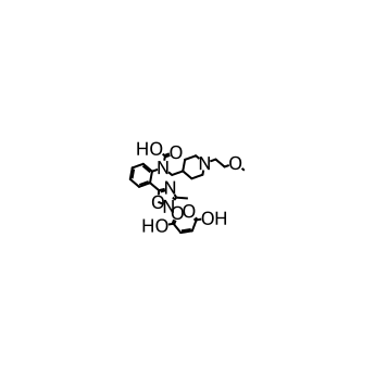 COCCN1CCC(CN(C(=O)O)c2ccccc2-c2nc(C)no2)CC1.O=C(O)/C=C\C(=O)O